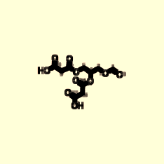 O=COCC(COC(=O)CC(=O)O)OC(=O)CC(=O)O